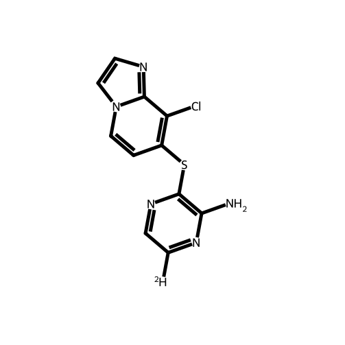 [2H]c1cnc(Sc2ccn3ccnc3c2Cl)c(N)n1